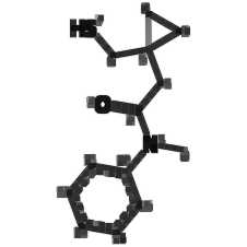 CN(C(=O)CC1(CS)CC1)c1ccccc1